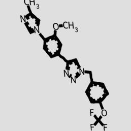 COc1cc(-c2cn(Cc3ccc(OC(F)(F)F)cc3)nn2)ccc1-n1cnc(C)c1